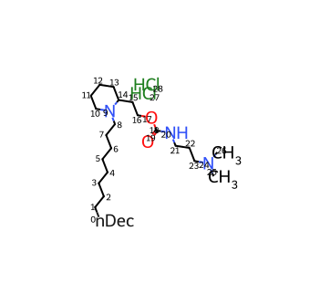 CCCCCCCCCCCCCCCCCCN1CCCCC1CCOC(=O)NCCCN(C)C.Cl.Cl